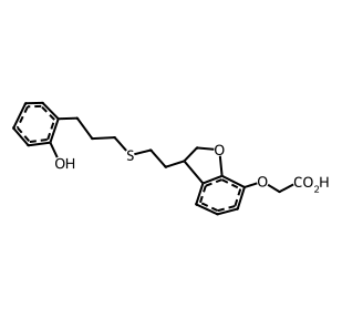 O=C(O)COc1cccc2c1OCC2CCSCCCc1ccccc1O